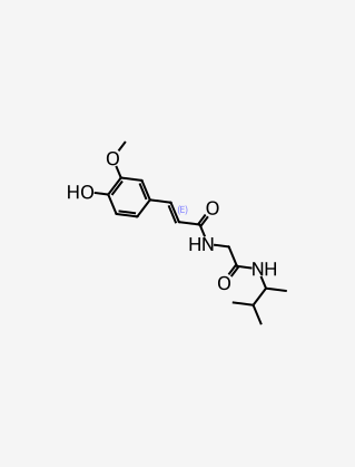 COc1cc(/C=C/C(=O)NCC(=O)NC(C)C(C)C)ccc1O